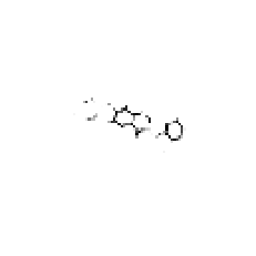 CC[S+]([O-])c1ccc(Cl)cc1Nn1cnc2c(Cl)c(CN3CCN(C)CC3)c(C(F)(F)F)cc2c1=O